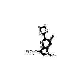 CCOC(=O)c1cn(C(C)C)c2cc(Br)c(C3OCCO3)nc12